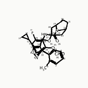 Cc1ccccc1-c1noc(C2CC2)c1COC1CC2CCC(C1)N2C(=O)Nc1c(F)cccc1OC=O